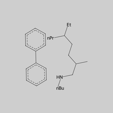 CCCCNCC(C)CCC(CC)CCC.c1ccc(-c2ccccc2)cc1